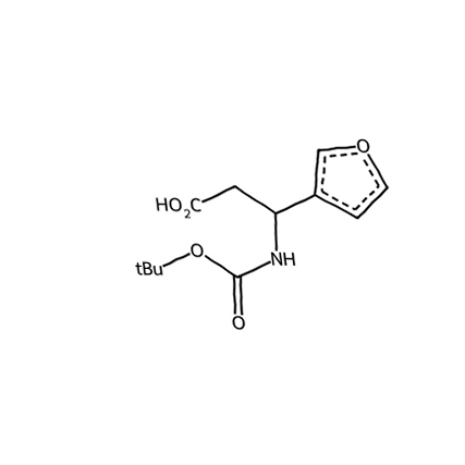 CC(C)(C)OC(=O)NC(CC(=O)O)c1ccoc1